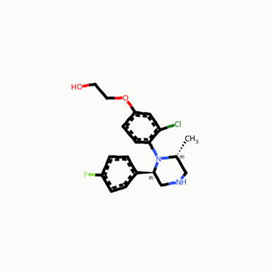 C[C@@H]1CNC[C@@H](c2ccc(F)cc2)N1c1ccc(OCCO)cc1Cl